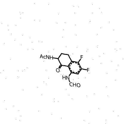 CC(=O)NC1CCc2c(F)c(F)cc(NC=O)c2C1=O